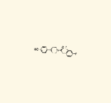 O=C(Cc1ccc(F)cc1F)N1CCN(c2ccc(O)cc2)CC1